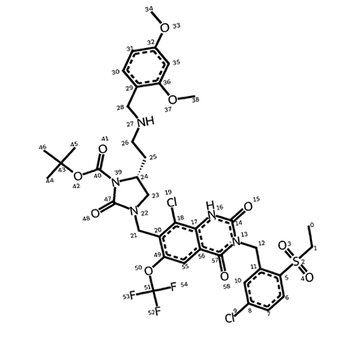 CCS(=O)(=O)c1ccc(Cl)cc1Cn1c(=O)[nH]c2c(Cl)c(CN3C[C@@H](CCNCc4ccc(OC)cc4OC)N(C(=O)OC(C)(C)C)C3=O)c(OC(F)(F)F)cc2c1=O